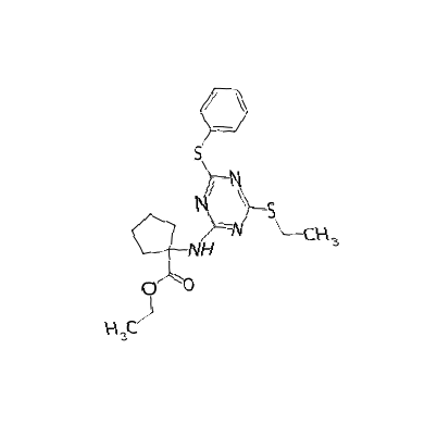 CCOC(=O)C1(Nc2nc(SCC)nc(Sc3ccccc3)n2)CCCC1